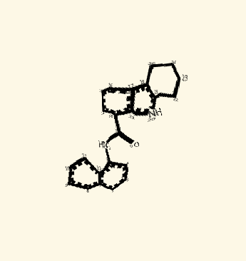 O=C(Nc1cccc2ccccc12)c1cccc2c3c([nH]c12)CCCC3